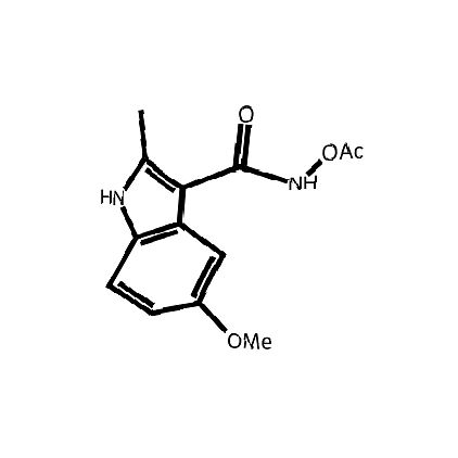 COc1ccc2[nH]c(C)c(C(=O)NOC(C)=O)c2c1